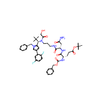 CC(C)(C)OC(=O)CC[C@H](NC(=O)OCc1ccccc1)C(=O)N[C@@H](CC(N)=O)C(=O)NCCCN(C(=O)CO)[C@@H](c1cc(-c2cc(F)ccc2F)cn1Cc1ccccc1)C(C)(C)C